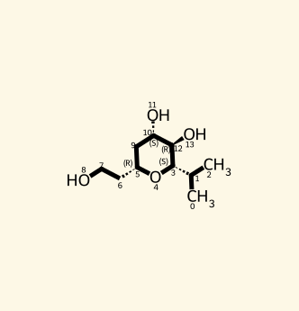 CC(C)[C@@H]1O[C@H](CCO)C[C@H](O)[C@H]1O